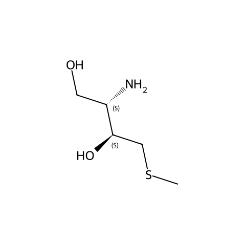 CSC[C@@H](O)[C@@H](N)CO